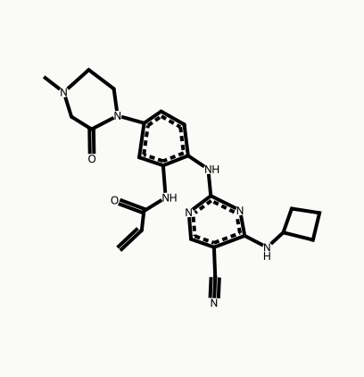 C=CC(=O)Nc1cc(N2CCN(C)CC2=O)ccc1Nc1ncc(C#N)c(NC2CCC2)n1